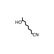 CC(O)CCCCCCC#N